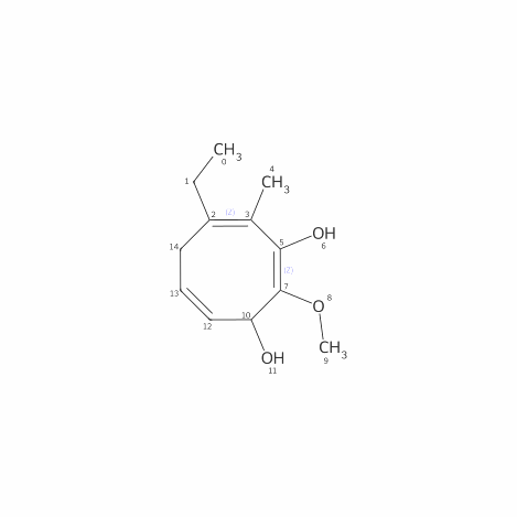 CC/C1=C(C)/C(O)=C(/OC)C(O)C=CC1